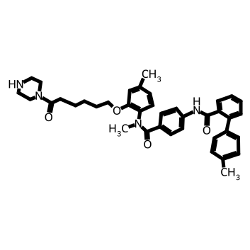 Cc1ccc(-c2ccccc2C(=O)Nc2ccc(C(=O)N(C)c3ccc(C)cc3OCCCCCC(=O)N3CCNCC3)cc2)cc1